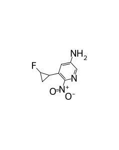 Nc1cnc([N+](=O)[O-])c(C2CC2F)c1